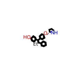 CC/C(=C(\c1ccc(O)cc1)c1ccc(OC[C@@H]2CCCN2)cc1)c1ccccc1